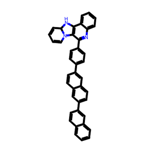 C1=CC2Nc3c(c(-c4ccc(-c5ccc6cc(-c7ccc8ccccc8c7)ccc6c5)cc4)nc4ccccc34)N2C=C1